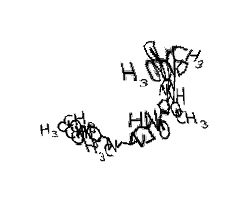 CCC1C(=O)N(C)c2cnc(Nc3ccc(C(=O)NC4CCN(CCCN(C)CC5CCN(C(=O)OC(C)(C)C)CC5)CC4)cc3OC)nc2N1C1CCCC1